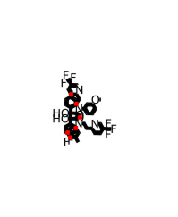 COc1cccc(N(CCc2ccc(C(F)(F)F)cn2)C(=O)[C@@](O)(c2ccc(F)cc2)[C@](O)(C(=O)N(CCc2ccc(C(F)(F)F)cn2)c2ccc(F)c(C)c2)c2ccc(F)cc2)c1